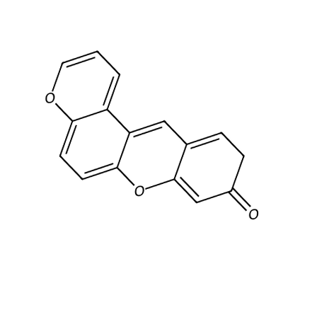 O=C1C=C2Oc3ccc4c(c3=CC2=CC1)=CC=CO4